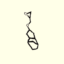 C1OC1COC1CC2C3CCC(C3)C2C1